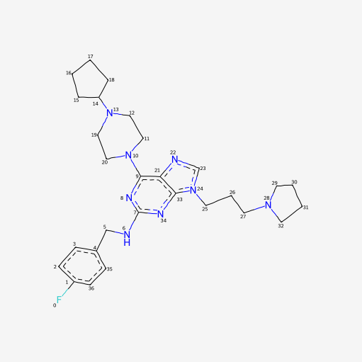 Fc1ccc(CNc2nc(N3CCN(C4CCCC4)CC3)c3ncn(CCCN4CCCC4)c3n2)cc1